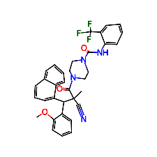 COc1ccccc1C(c1cccc2ccccc12)C(C)(C#N)C(=O)N1CCN(C(=O)Nc2ccccc2C(F)(F)F)CC1